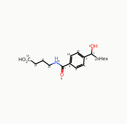 CCCCCCC(O)c1ccc(C(=O)NCCCC(=O)O)cc1